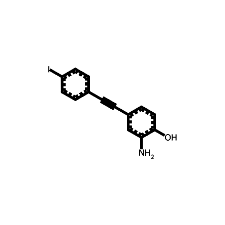 Nc1cc(C#Cc2ccc(I)cc2)ccc1O